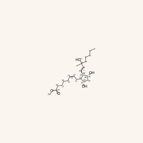 CCCCCC(C)(O)/C=C/[C@@H]1C(C/C=C\CCCCC(=O)OC)[C@@H](O)C[C@H]1O